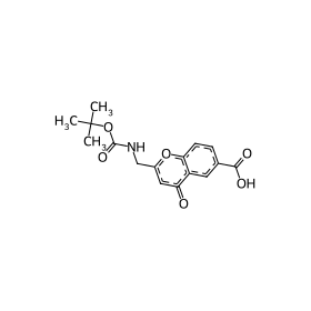 CC(C)(C)OC(=O)NCc1cc(=O)c2cc(C(=O)O)ccc2o1